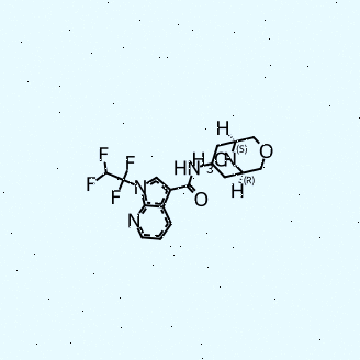 CN1[C@@H]2COC[C@H]1CC(NC(=O)c1cn(C(F)(F)C(F)F)c3ncccc13)C2